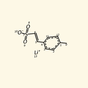 Cc1ccc(C=CS(=O)(=O)[O-])cc1.[Li+]